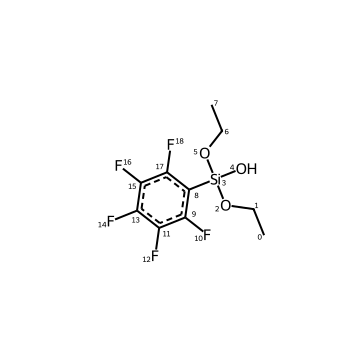 CCO[Si](O)(OCC)c1c(F)c(F)c(F)c(F)c1F